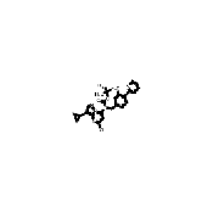 CC(C)(C)OC(=O)N(Cc1ccc(-c2ccccn2)c(F)c1)c1cc(Cl)nc2c(C3CC3)cnn12